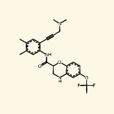 Cc1cc(C#CCN(C)C)c(NC(=O)C2CNc3cc(OC(C)(F)F)ccc3O2)cc1C